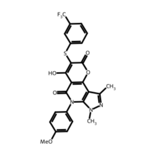 COc1ccc(-n2c(=O)c3c(O)c(Sc4cccc(C(F)(F)F)c4)c(=O)oc3c3c(C)nn(C)c32)cc1